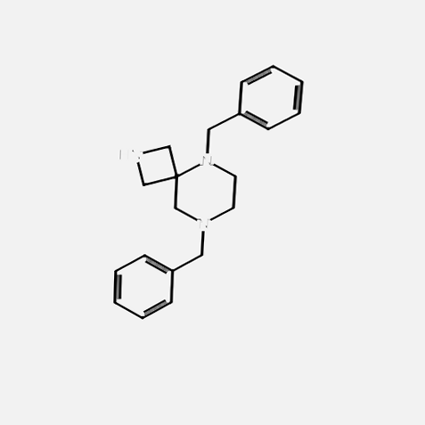 c1ccc(CN2CCN(Cc3ccccc3)C3(CNC3)C2)cc1